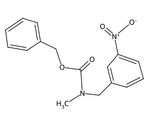 CN(Cc1cccc([N+](=O)[O-])c1)C(=O)OCc1ccccc1